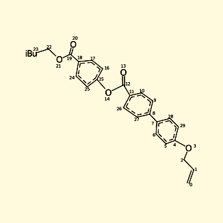 C=CCOc1ccc(-c2ccc(C(=O)Oc3ccc(C(=O)OCC(C)CC)cc3)cc2)cc1